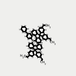 C=Cc1ccc(C2(c3ccc(C=C)cc3)c3ccccc3-c3c(N(c4ccc(-c5ccccc5)cc4)c4cccc5c4-c4ccccc4C5(c4ccc(C=C)cc4)c4ccc(C=C)cc4)cccc32)cc1